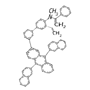 C=Cc1cc(-c2cccc(-c3ccc4c(-c5ccc6ccccc6c5)c5ccccc5c(-c5ccc6ccccc6c5)c4c3)c2)ccc1N(C)C(=C)c1ccccc1